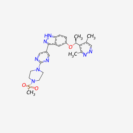 Cc1cnnc(C)c1[C@H](C)Oc1ccc2[nH]nc(-c3cnc(N4CCN(S(C)(=O)=O)CC4)nc3)c2c1